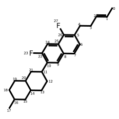 CC=CCCc1ccc2cc(C3CCC4CC(C)CCC4C3)c(F)cc2c1F